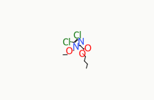 CCCCOC(=O)c1nc(Cl)c(Cl)n1COCC